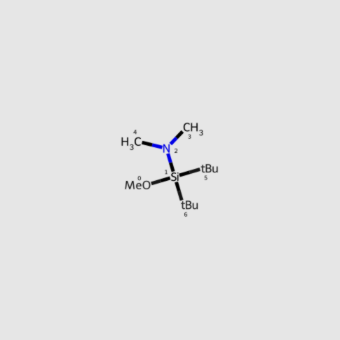 CO[Si](N(C)C)(C(C)(C)C)C(C)(C)C